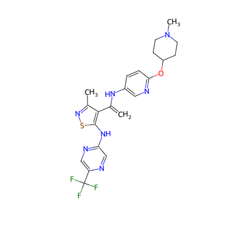 C=C(Nc1ccc(OC2CCN(C)CC2)nc1)c1c(C)nsc1Nc1cnc(C(F)(F)F)cn1